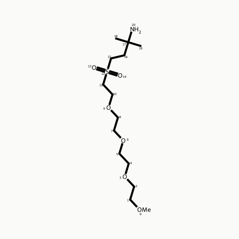 COCCOCCOCCOCCS(=O)(=O)CCC(C)(C)N